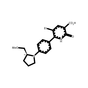 CCc1cc(C(=O)O)c(=O)[nH]c1-c1ccc(N2CCC[C@H]2COC)cc1